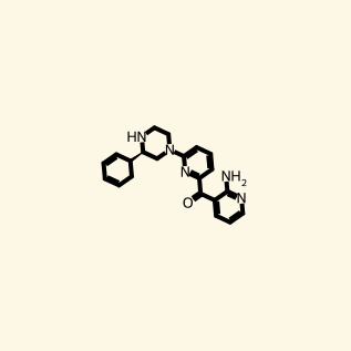 Nc1ncccc1C(=O)c1cccc(N2CCN[C@H](C3C=CC=CC3)C2)n1